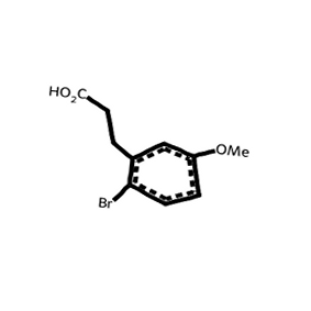 COc1ccc(Br)c(CCC(=O)O)c1